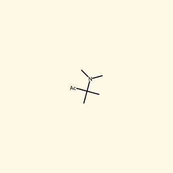 CC(=O)C(C)(C)N(C)C